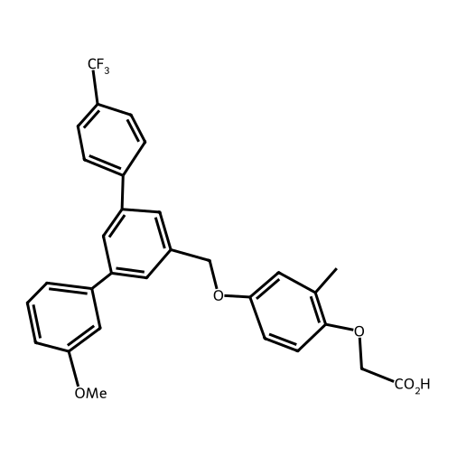 COc1cccc(-c2cc(COc3ccc(OCC(=O)O)c(C)c3)cc(-c3ccc(C(F)(F)F)cc3)c2)c1